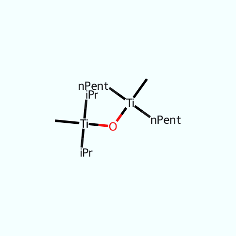 CCCC[CH2][Ti]([CH3])([CH2]CCCC)[O][Ti]([CH3])([CH](C)C)[CH](C)C